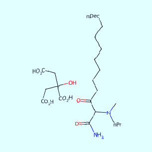 CCCCCCCCCCCCCCCCCC(=O)C(C(N)=O)N(C)CCC.O=C(O)CC(O)(CC(=O)O)C(=O)O